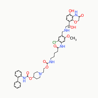 COc1cc(NC(=O)CCCCNC(=O)OCCN2CCC(OC(=O)Nc3ccccc3-c3ccccc3)CC2)c(Cl)cc1CNC[C@H](O)c1ccc(O)c2c1OCC(=O)N2